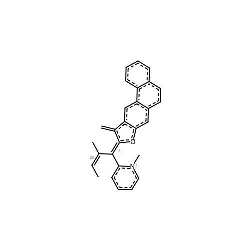 C=c1/c(=C(\C(C)=C/C)c2cccc[n+]2C)oc2cc3ccc4ccccc4c3cc12